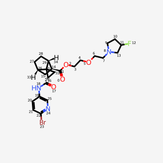 O=C(OCCOCCN1CCC(F)C1)[C@H]1[C@H](C(=O)Nc2ccc(Br)nc2)[C@@H]2CC[C@H]1C21CC1